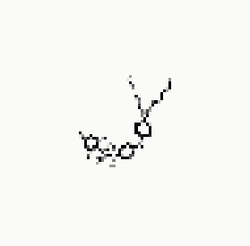 CCCCCCN(CCCCCC)c1ccc(Nc2ccc(NS(=O)(=O)c3c(C)cc(C)cc3C)cc2)cc1